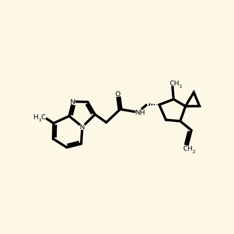 C=CC1C[C@H](CNC(=O)Cc2cnc3c(C)cccn23)C(C)C12CC2